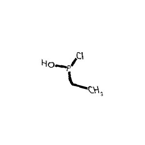 CCP(O)Cl